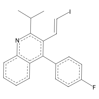 CC(C)c1nc2ccccc2c(-c2ccc(F)cc2)c1C=CI